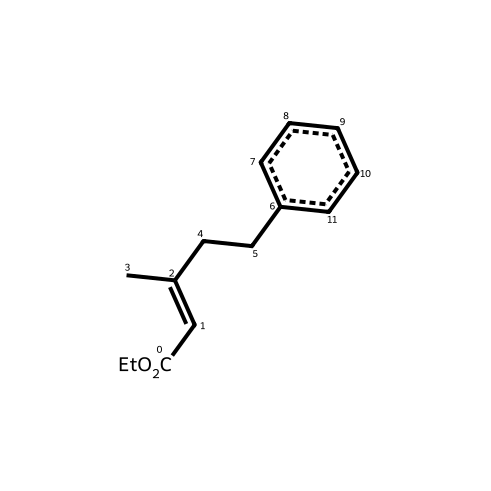 CCOC(=O)C=C(C)CCc1ccccc1